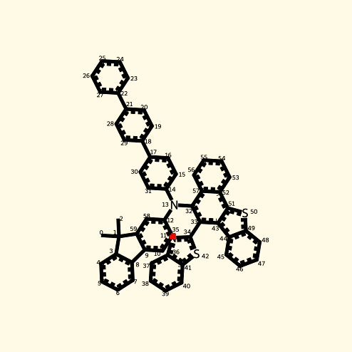 CC1(C)c2ccccc2-c2ccc(N(c3ccc(-c4ccc(-c5ccccc5)cc4)cc3)c3c(-c4nc5ccccc5s4)c4c5ccccc5sc4c4ccccc34)cc21